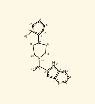 O=C(c1cc2cccnc2[nH]1)N1CCC(c2ccccc2F)CC1